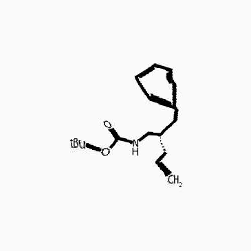 C=CC[C@H](CNC(=O)OC(C)(C)C)Cc1ccccc1